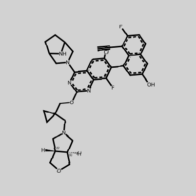 C#Cc1c(F)ccc2cc(O)cc(-c3c(Cl)cc4c(N5CC6CCC(C5)N6)nc(OCC5(CN6C[C@H]7COC[C@@H]7C6)CC5)nc4c3F)c12